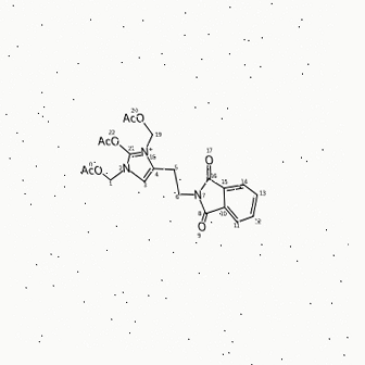 CC(=O)OCn1cc(CCN2C(=O)c3ccccc3C2=O)[n+](COC(C)=O)c1OC(C)=O